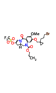 C=CCOC(=O)N1C[C@@H]2CC(OS(=O)(=O)C(F)(F)F)=CN2C(=O)c2cc(OC)c(OCC3(CCCBr)CC3)cc21